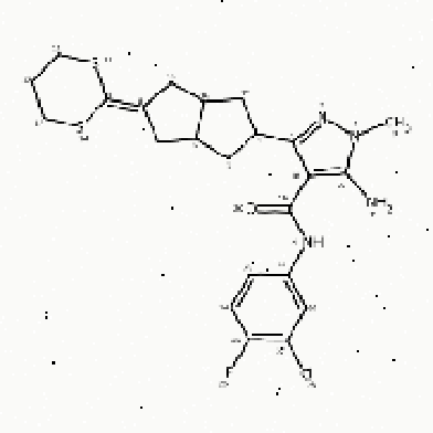 Cn1nc(C2CC3CC(=C4SCCCS4)CC3C2)c(C(=O)Nc2ccc(F)c(Cl)c2)c1N